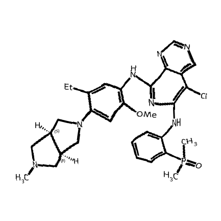 CCc1cc(Nc2nc(Nc3ccccc3P(C)(C)=O)c(Cl)c3cncnc23)c(OC)cc1N1C[C@H]2CN(C)C[C@H]2C1